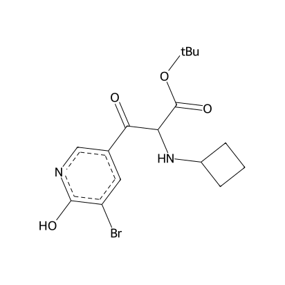 CC(C)(C)OC(=O)C(NC1CCC1)C(=O)c1cnc(O)c(Br)c1